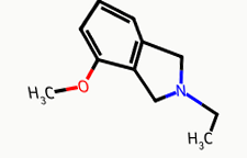 CCN1Cc2cccc(OC)c2C1